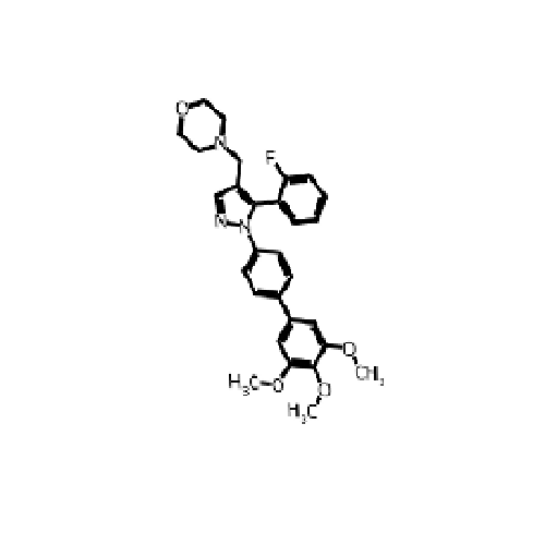 COc1cc(-c2ccc(-n3ncc(CN4CCOCC4)c3-c3ccccc3F)cc2)cc(OC)c1OC